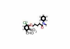 CN(C(=O)CCCCOc1c(Cl)ccc(C=O)c1[N+](=O)[O-])c1ccccc1